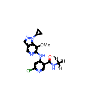 [2H]C([2H])([2H])NC(=O)c1cnc(Cl)cc1Nc1ncc2cnn(C3CC3)c2c1OC